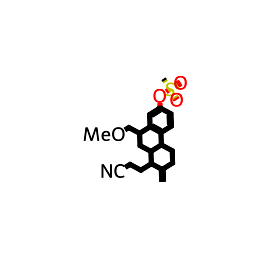 C=C1CCC2c3ccc(OS(C)(=O)=O)cc3C(COC)CC2C1CCC#N